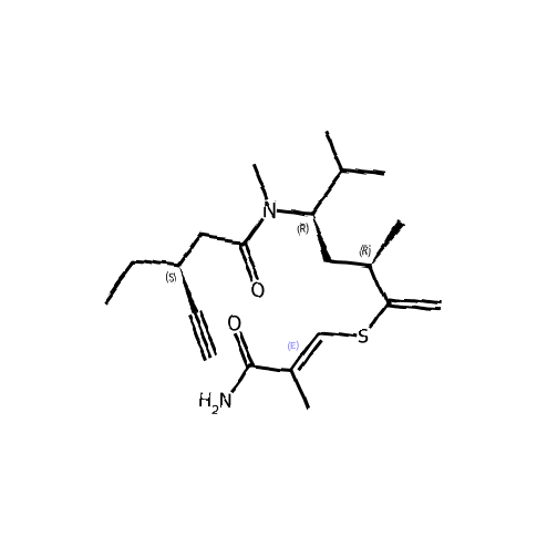 C#C[C@@H](CC)CC(=O)N(C)[C@H](C[C@@H](C)C(=C)S/C=C(\C)C(N)=O)C(C)C